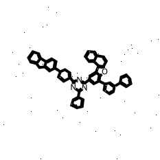 C1=CC(c2ccc3c(c2)Cc2ccccc2-3)CC=C1c1nc(-c2ccccc2)nc(-c2cc(-c3cccc(-c4ccccc4)c3)c3oc4ccc5ccccc5c4c3c2)n1